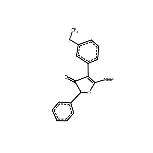 CNC1=C(c2cccc(SC(F)(F)F)c2)C(=O)C(c2ccccc2)O1